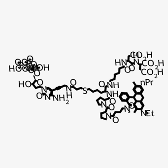 CCCc1cc2c(cc1C)C(c1ccccc1C(=O)N(C)CCCC(=O)N1CCCC1C(=O)N1CCCC1C(=O)NC(CCCCSCCC(=O)NCC#Cc1cn([C@H]3CC(O)[C@@H](COP(=O)(O)OP(=O)(O)OP(=O)(O)O)O3)c(=O)nc1N)C(=O)NCCCCCC(=O)NC(CC(=O)O)C(=O)NC(CC(=O)O)C(=O)O)C1C=C(C)/C(=N/CC)C=C1C2